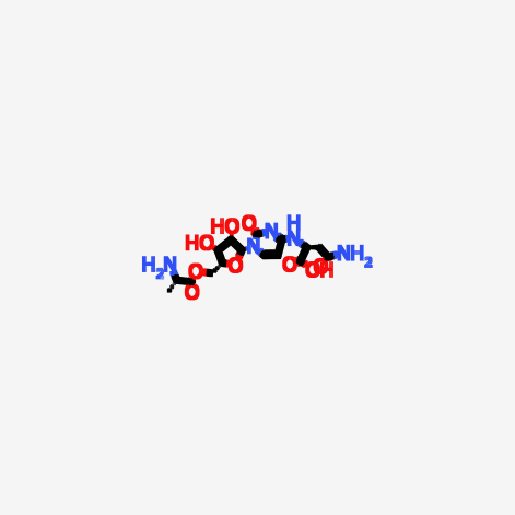 C[C@H](N)C(=O)OC[C@H]1O[C@@H](n2ccc(N[C@@H](CC(N)=O)C(=O)O)nc2=O)[C@@H](O)[C@@H]1O